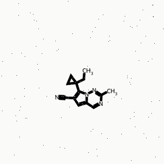 CCC1(c2c(C#N)cc3cnc(C)nn23)CC1